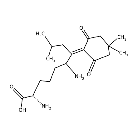 CC(C)CC(=C1C(=O)CC(C)(C)CC1=O)C(N)CCC[C@H](N)C(=O)O